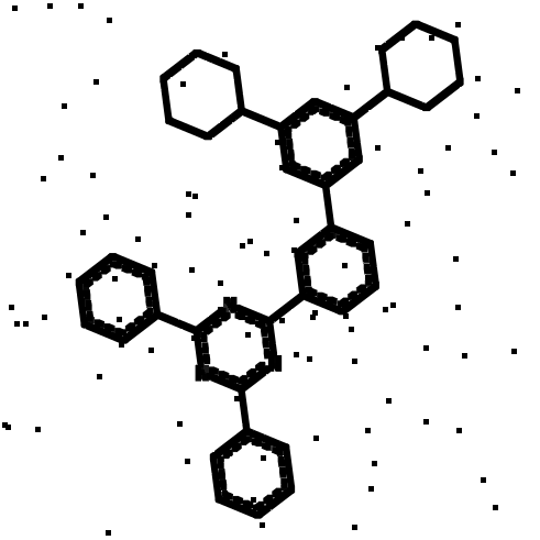 c1ccc(-c2nc(-c3ccccc3)nc(-c3cccc(-c4cc(C5CCCCC5)cc(C5CCCCC5)c4)c3)n2)cc1